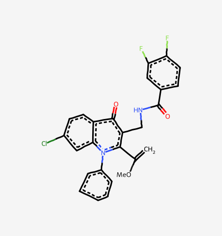 C=C(OC)c1c(CNC(=O)c2ccc(F)c(F)c2)c(=O)c2ccc(Cl)cc2n1-c1ccccc1